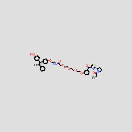 CC/C(=C(\c1ccc(O)cc1)c1ccc(OCCNC(=O)COCCOCCOCCOc2cccc(C(=O)c3csc([C@@H]4CCCN4C(=O)CC(C)C)n3)c2)cc1)c1ccccc1